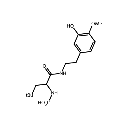 COc1ccc(CCNC(=O)C(CC(C)(C)C)NC(=O)O)cc1O